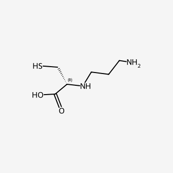 NCCCN[C@@H](CS)C(=O)O